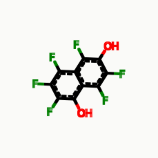 Oc1c(F)c(F)c2c(O)c(F)c(F)c(F)c2c1F